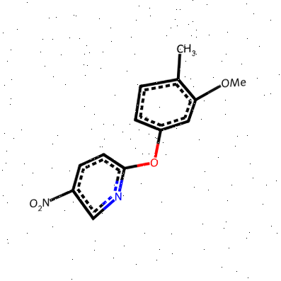 COc1cc(Oc2ccc([N+](=O)[O-])cn2)ccc1C